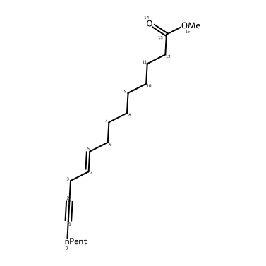 CCCCCC#CCC=CCCCCCCCC(=O)OC